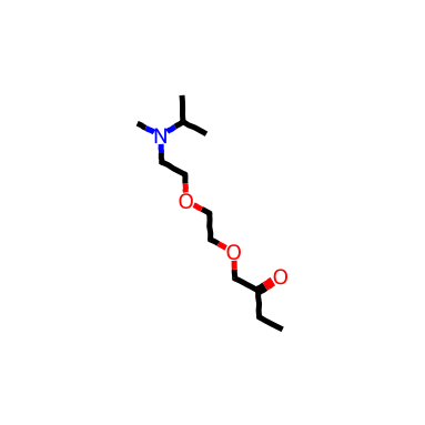 CCC(=O)COCCOCCN(C)C(C)C